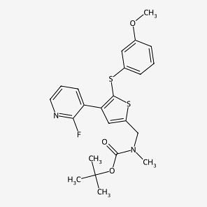 COc1cccc(Sc2sc(CN(C)C(=O)OC(C)(C)C)cc2-c2cccnc2F)c1